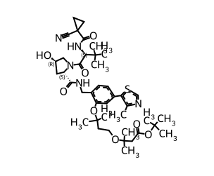 Cc1ncsc1-c1ccc(CNC(=O)[C@@H]2C[C@@H](O)CN2C(=O)[C@@H](NC(=O)C2(C#N)CC2)C(C)(C)C)c(OC(C)(C)CCOC(C)(C)CC(=O)OC(C)(C)C)c1